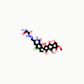 COC1=CC(=O)c2c(O)c3c(c(O)c2C1=O)C(=O)[C@]1(CCc2c1c(O)c1c(=O)[nH]c(/C=N/NC(=O)C(N)=O)cc1c2Cl)C3=O